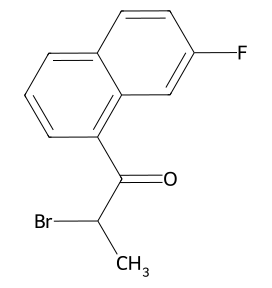 CC(Br)C(=O)c1cccc2ccc(F)cc12